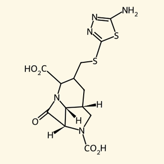 Nc1nnc(SCC2C[C@@H]3CN(C(=O)O)[C@@H]4C(=O)N(C2C(=O)O)[C@H]34)s1